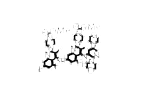 COC(=O)N1CCN(c2nc3cc(F)cc(F)c3c(Cl)c2C)CC1.COC(=O)N1CCN(c2nc3cc(F)cc(F)c3c(Nc3cc(N4CCOCC4)cnc3N3CCOCC3)c2C)CC1